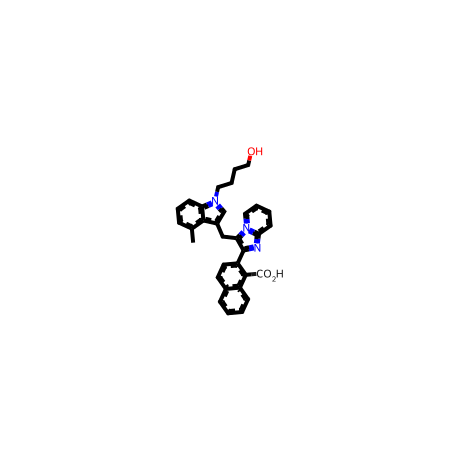 Cc1cccc2c1c(Cc1c(-c3ccc4ccccc4c3C(=O)O)nc3ccccn13)cn2CCCCO